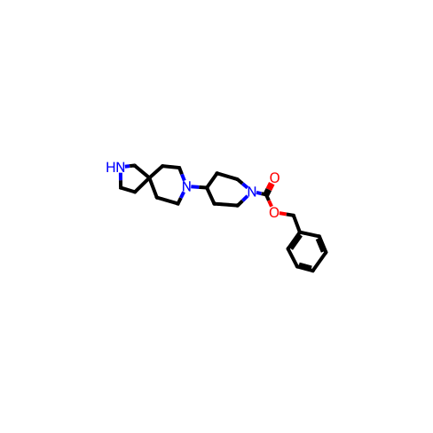 O=C(OCc1ccccc1)N1CCC(N2CCC3(CCNC3)CC2)CC1